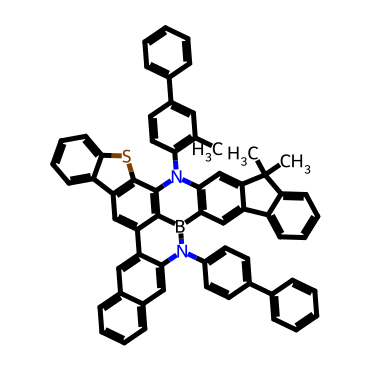 Cc1cc(-c2ccccc2)ccc1N1c2cc3c(cc2B2c4c(cc5c(sc6ccccc65)c41)-c1cc4ccccc4cc1N2c1ccc(-c2ccccc2)cc1)-c1ccccc1C3(C)C